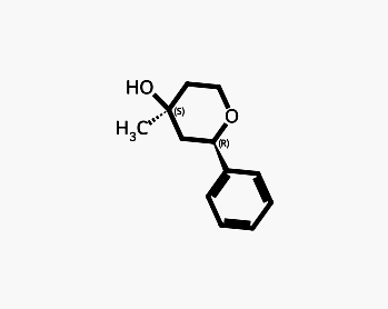 C[C@]1(O)CCO[C@@H](c2ccccc2)C1